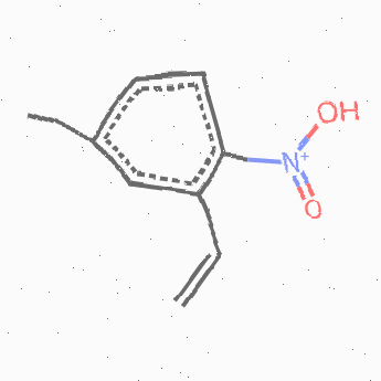 C=Cc1cc(C)ccc1[N+](=O)O